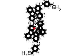 C=Cc1ccc(Oc2ccc(C3(c4cc(F)ccc4F)c4ccccc4-c4ccc(N(c5ccc6c(c5)C(c5ccc(Oc7ccc(C=C)cc7)cc5)(c5cc(F)ccc5F)c5ccccc5-6)c5cccc6c5C(C)(C)c5ccccc5-6)cc43)cc2)cc1